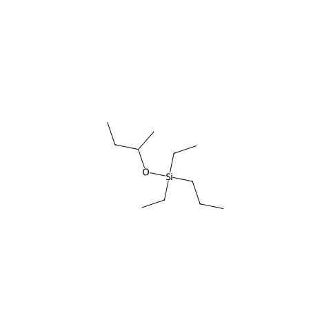 CCC[Si](CC)(CC)OC(C)CC